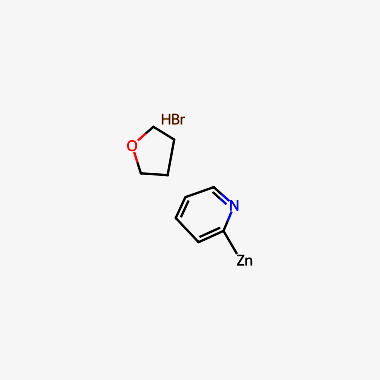 Br.C1CCOC1.[Zn][c]1ccccn1